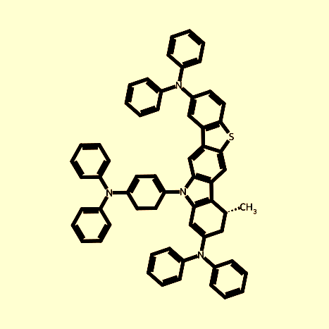 C[C@@H]1CC(N(c2ccccc2)c2ccccc2)=Cc2c1c1cc3sc4ccc(N(c5ccccc5)c5ccccc5)cc4c3cc1n2C1=CC=C(N(c2ccccc2)c2ccccc2)CC1